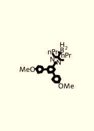 BC(CCC)(CCC)c1c(C)nc(-c2cc(-c3ccc(OC)cc3)cc(-c3ccc(OC)cc3)c2)nc1C